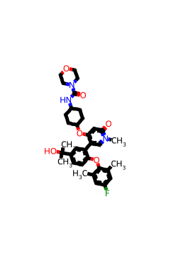 Cc1cc(F)cc(C)c1Oc1ccc(C(C)(C)O)cc1-c1cn(C)c(=O)cc1OC1CCC(NC(=O)N2CCOCC2)CC1